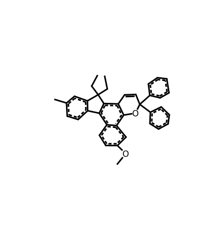 CCC1(CC)c2cc(C)ccc2-c2c1c1c(c3cc(OC)ccc23)OC(c2ccccc2)(c2ccccc2)C=C1